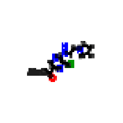 COC(=O)c1cnc(NCCN2CCCC2)c(Cl)n1